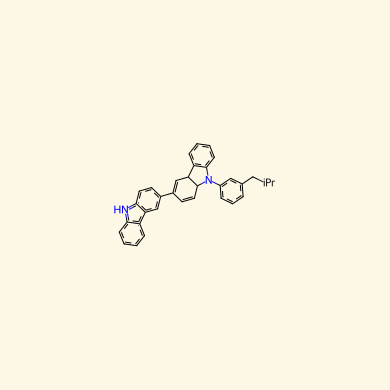 CC(C)Cc1cccc(N2c3ccccc3C3C=C(c4ccc5[nH]c6ccccc6c5c4)C=CC32)c1